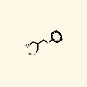 NCC(COc1ccccc1)CC(=O)O